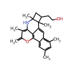 C=C1Oc2c3c(cc4c(C)cc(C)cc24)C2(C)C(CCO)CC2(C)NC3=C1C